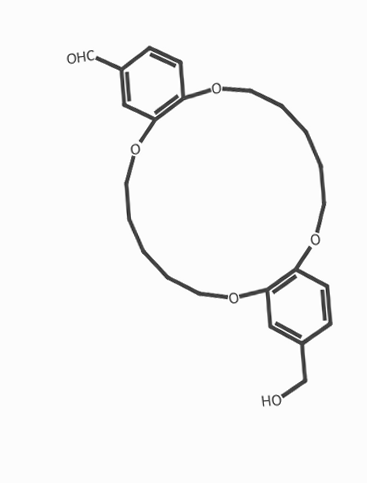 O=Cc1ccc2c(c1)OCCCCCOc1cc(CO)ccc1OCCCCCO2